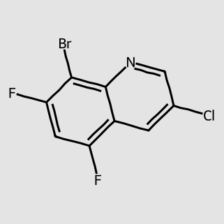 Fc1cc(F)c2cc(Cl)cnc2c1Br